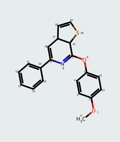 COc1ccc(OC2=NC(c3ccccc3)=CC3C=CSC23)cc1